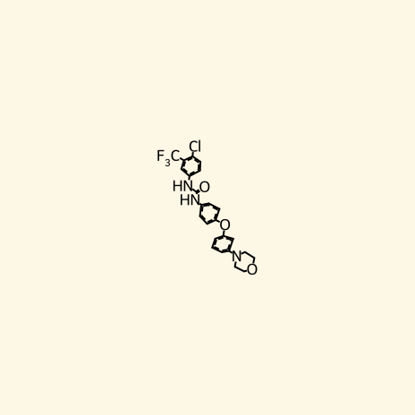 O=C(Nc1ccc(Oc2cccc(N3CCOCC3)c2)cc1)Nc1ccc(Cl)c(C(F)(F)F)c1